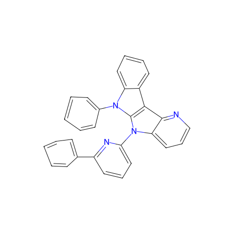 c1ccc(-c2cccc(-n3c4cccnc4c4c5ccccc5n(-c5ccccc5)c43)n2)cc1